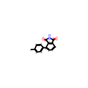 Cc1ccc(-c2cccc3c2C(=O)NC3=O)cc1